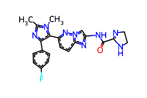 Cc1nc(-c2ccc(F)cc2)c(-c2ccc3nc(NC(=O)C4=NCCN4)cn3n2)n1C